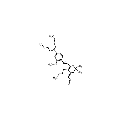 CCCCC1=C(/C=C/c2ccc(N(CCCC)CCCC)cc2OC)CC(C)(C)C/C1=C\C=O